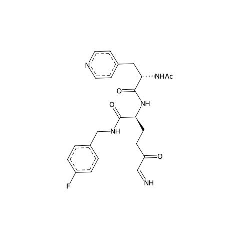 CC(=O)N[C@@H](Cc1ccncc1)C(=O)N[C@@H](CCC(=O)C=N)C(=O)NCc1ccc(F)cc1